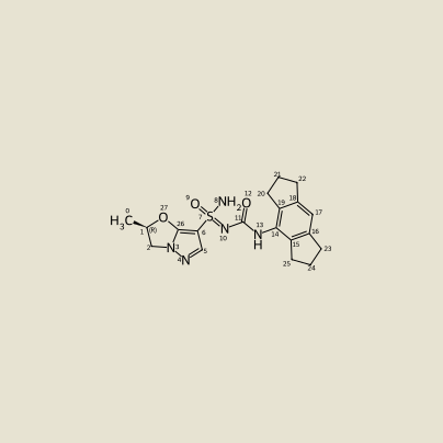 C[C@@H]1Cn2ncc(S(N)(=O)=NC(=O)Nc3c4c(cc5c3CCC5)CCC4)c2O1